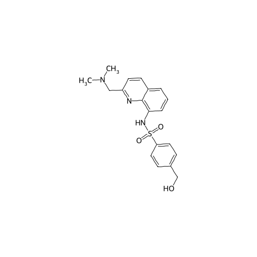 CN(C)Cc1ccc2cccc(NS(=O)(=O)c3ccc(CO)cc3)c2n1